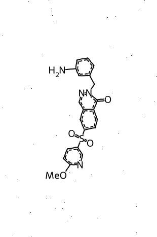 COc1ccc(S(=O)(=O)c2ccc3c(=O)n(Cc4cccc(N)c4)ncc3c2)cn1